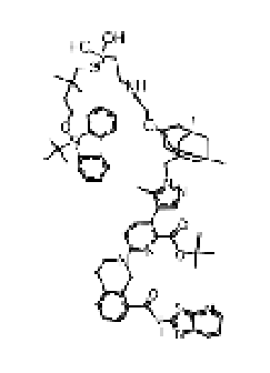 Cc1c(-c2ccc(N3CCc4cccc(C(=O)Nc5nc6cccnc6s5)c4C3)nc2C(=O)OC(C)(C)C)cnn1CC12CC3(C)CC(C)(C1)CC(OCCNCCS(O)(O)OCC(C)(C)CCO[Si](c1ccccc1)(c1ccccc1)C(C)(C)C)(C3)C2